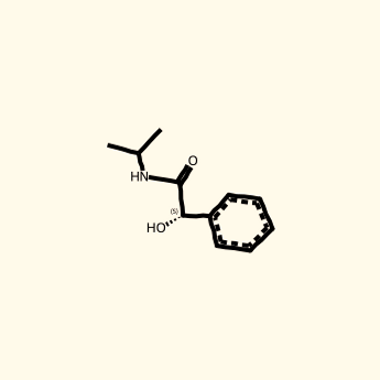 CC(C)NC(=O)[C@@H](O)c1ccccc1